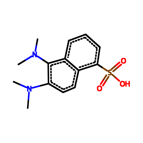 CN(C)c1ccc2c(S(=O)(=O)O)cccc2c1N(C)C